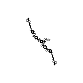 C=CC(=O)OCCCCCCOc1ccc(OC(=O)C2CCC(C(=O)Oc3ccc(OC(=O)C4CCC(C(=O)Oc5ccc(OCCCCCCOC(=O)C=C)cc5)CC4)c(C(=O)OC)c3)CC2)cc1